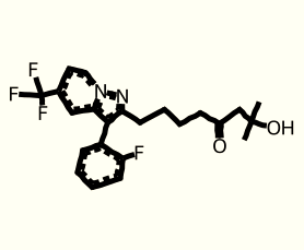 CC(C)(O)CC(=O)CCCCc1nn2ccc(C(F)(F)F)cc2c1-c1ccccc1F